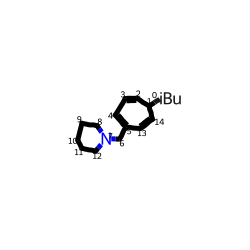 CCC(C)C1C=CC=C(CN2CCCCC2)C=C1